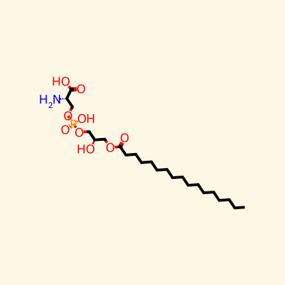 CCCCCCCCCCCCCCCCC(=O)OC[C@@H](O)COP(=O)(O)OC[C@H](N)C(=O)O